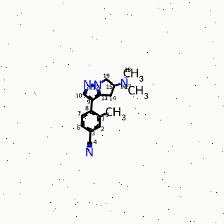 Cc1cc(C#N)ccc1-c1cnn2c1CC(N(C)C)C2